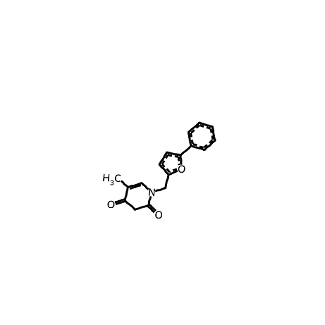 CC1=CN(Cc2ccc(-c3ccccc3)o2)C(=O)CC1=O